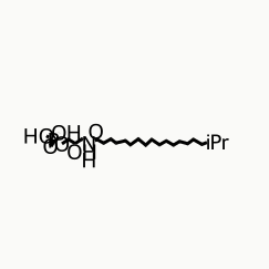 CC(C)CCCCCCCCCCCCCCCC(=O)NCC(O)COP(=O)(O)O